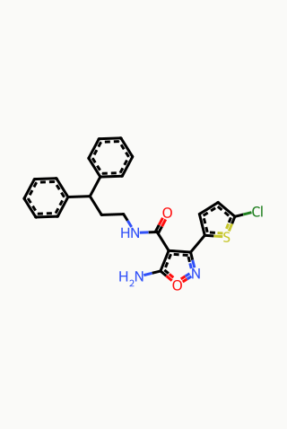 Nc1onc(-c2ccc(Cl)s2)c1C(=O)NCCC(c1ccccc1)c1ccccc1